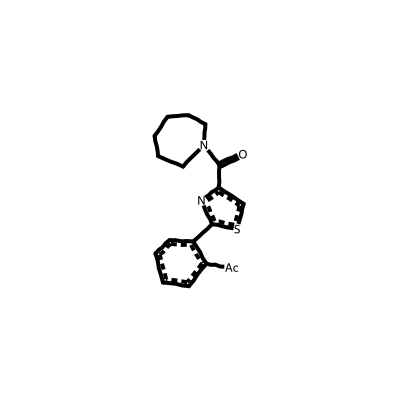 CC(=O)c1ccccc1-c1nc(C(=O)N2CCCCCC2)cs1